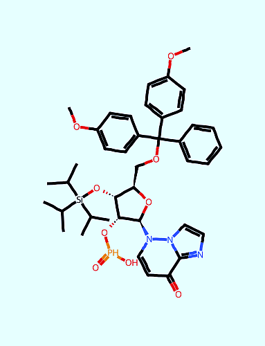 COc1ccc(C(OC[C@H]2O[C@@H](n3ccc(=O)c4nccn43)[C@H](O[PH](=O)O)[C@@H]2O[Si](C(C)C)(C(C)C)C(C)C)(c2ccccc2)c2ccc(OC)cc2)cc1